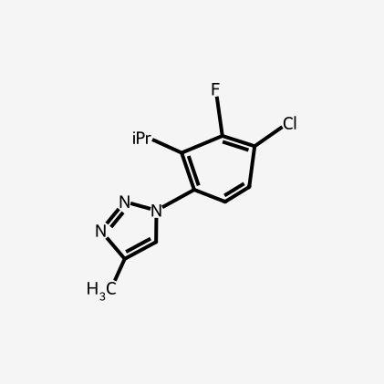 Cc1cn(-c2ccc(Cl)c(F)c2C(C)C)nn1